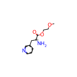 COCCOC(=O)[C@H](N)Cc1cccnc1